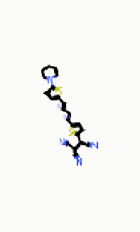 N#CC(C#N)=C(C#N)c1ccc(/C=C/C=C/c2ccc(N3CCCCC3)s2)s1